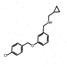 Clc1ccc(COc2cccc(CNCC3CC3)c2)cc1